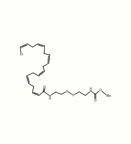 CC/C=C\C/C=C\C/C=C\C/C=C\C/C=C\C/C=C\C(=O)NCCSSCCNC(=O)OC(C)(C)C